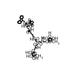 C[C@@H]1O[C@@H](OCCNC(=O)CN(CC(=O)NCCCCCC(=O)NC[C@@H](NC(=O)OCC2c3ccccc3-c3ccccc32)C(=O)ON2C(=O)CCC2=O)CC(=O)NCCO[C@@H]2O[C@@H](C)[C@@H](O)[C@@H](O)[C@@H]2O)[C@@H](O)[C@@H](O)[C@@H]1O